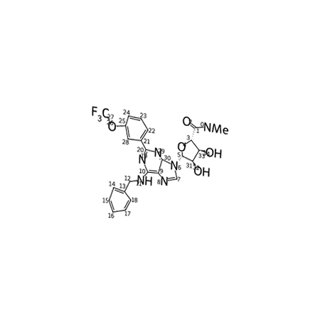 CNC(=O)[C@H]1O[C@@H](n2cnc3c(NCc4ccccc4)nc(-c4cccc(OC(F)(F)F)c4)nc32)[C@H](O)[C@@H]1O